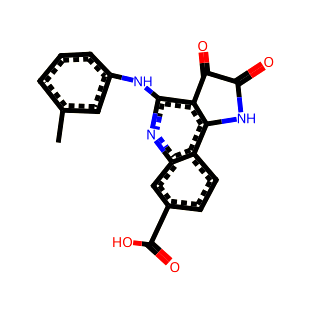 Cc1cccc(Nc2nc3cc(C(=O)O)ccc3c3c2C(=O)C(=O)N3)c1